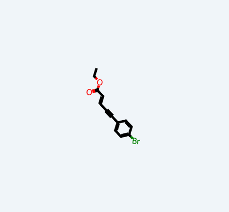 CCOC(=O)/C=C/C#Cc1ccc(Br)cc1